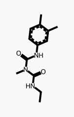 CCNC(=O)N(C)C(=O)Nc1ccc(C)c(C)c1